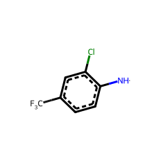 [NH]c1ccc(C(F)(F)F)cc1Cl